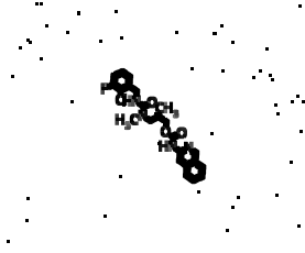 CC(COC(=O)Nc1cc2ccccc2cn1)CN(C)C(=O)NCc1cccc(F)c1Cl